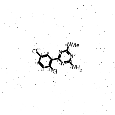 CNc1nc(N)nc(-c2cc(Cl)ccc2Cl)n1